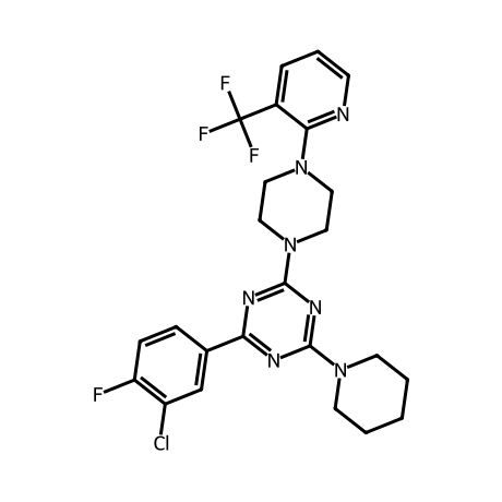 Fc1ccc(-c2nc(N3CCCCC3)nc(N3CCN(c4ncccc4C(F)(F)F)CC3)n2)cc1Cl